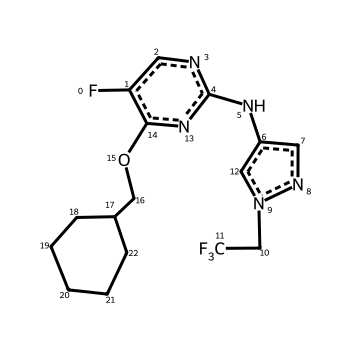 Fc1cnc(Nc2cnn(CC(F)(F)F)c2)nc1OCC1CCCCC1